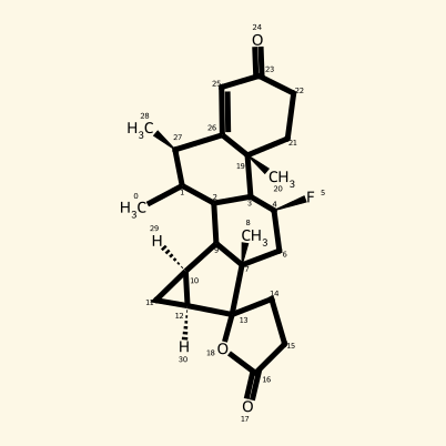 CC1C2C([C@@H](F)C[C@@]3(C)C2[C@@H]2C[C@@H]2C32CCC(=O)O2)[C@@]2(C)CCC(=O)C=C2[C@@H]1C